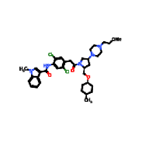 COCCN1CCN([C@H]2C[C@@H](CO[C@H]3CC[C@H](C)CC3)N(C(=O)Cc3cc(Cl)c(NC(=O)c4cn(C)c5ccccc45)cc3Cl)C2)CC1